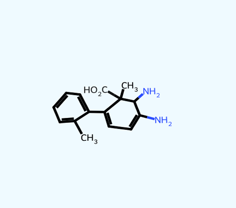 Cc1ccccc1C1=CC=C(N)C(N)C1(C)C(=O)O